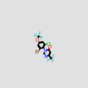 O=c1cc(C(F)(F)F)ncn1-c1c(Cl)cc(OC(F)(F)F)cc1Br